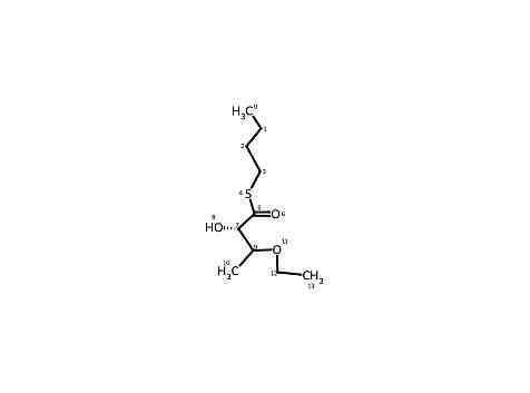 CCCCSC(=O)[C@@H](O)C(C)OCC